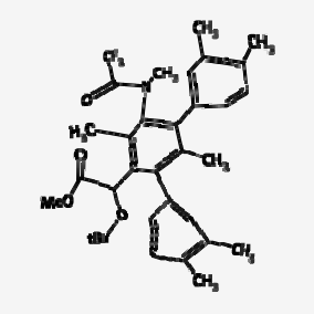 COC(=O)C(OC(C)(C)C)c1c(C)c(N(C)C(=O)C(F)(F)F)c(-c2ccc(C)c(C)c2)c(C)c1-c1ccc(C)c(C)c1